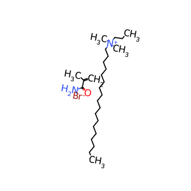 C=C(C)C(N)=O.CCCCCCCCCCCCCCCCCC[N+](C)(C)CCC.[Br-]